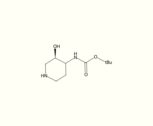 CC(C)(C)OC(=O)NC1CCNC[C@H]1O